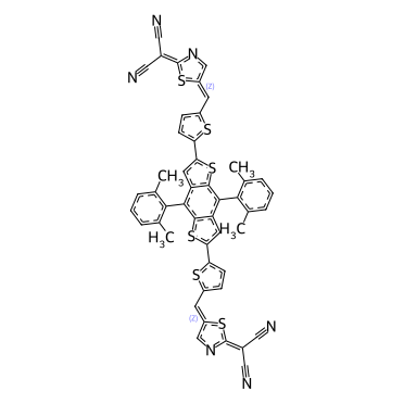 Cc1cccc(C)c1-c1c2cc(-c3ccc(/C=c4/cnc(=C(C#N)C#N)s4)s3)sc2c(-c2c(C)cccc2C)c2cc(-c3ccc(/C=c4/cnc(=C(C#N)C#N)s4)s3)sc12